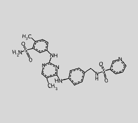 Cc1ccc(Nc2ncc(C)c(Nc3ccc(CNS(=O)(=O)c4cccnc4)cc3)n2)cc1S(N)(=O)=O